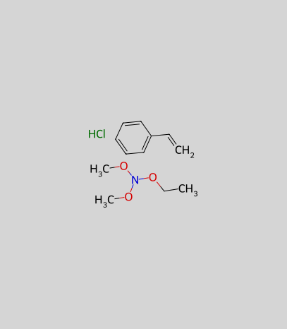 C=Cc1ccccc1.CCON(OC)OC.Cl